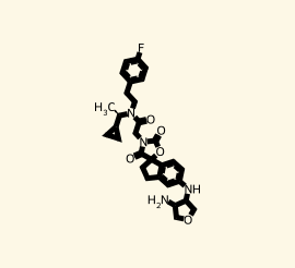 C[C@@H](C1CC1)N(CCc1ccc(F)cc1)C(=O)CN1C(=O)OC2(CCc3cc(NC4COCC4N)ccc32)C1=O